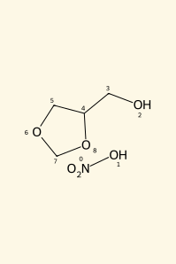 O=[N+]([O-])O.OCC1COCO1